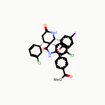 COC(=O)c1ccc(Oc2ccc(I)cc2[C@H]2NC(=O)C[C@@H](C3C=CC=C(Cl)C3)[C@]23C(=O)Nc2cc(Cl)ccc23)cc1